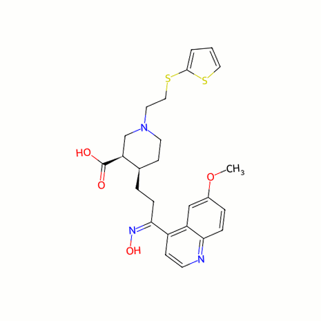 COc1ccc2nccc(/C(CC[C@@H]3CCN(CCSc4cccs4)C[C@@H]3C(=O)O)=N\O)c2c1